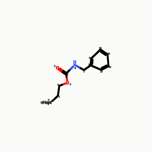 CCCCCCCCCOC(=O)NCc1ccccc1